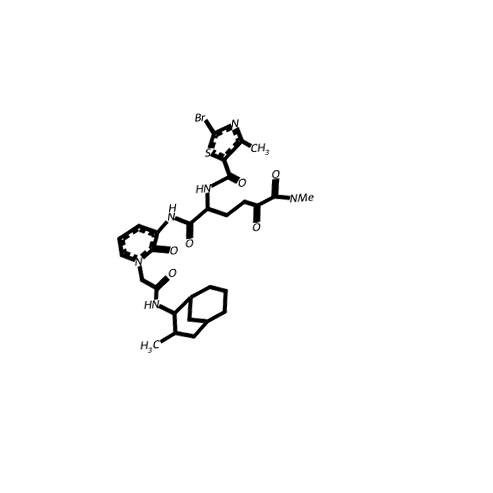 CNC(=O)C(=O)CCC(NC(=O)c1sc(Br)nc1C)C(=O)Nc1cccn(CC(=O)NC2C(C)CC3CCCC2C3)c1=O